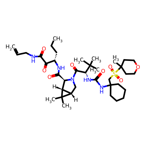 C=CCNC(=O)C(=O)[C@H](CCC)NC(=O)[C@@H]1[C@@H]2[C@H](CN1C(=O)[C@@H](NC(=O)NC1(CS(=O)(=O)C3(C)CCOCC3)CCCCC1)C(C)(C)C)C2(C)C